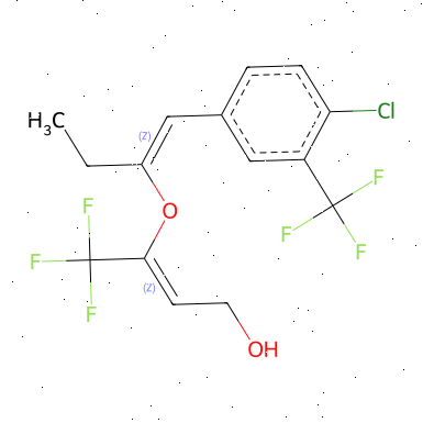 CC/C(=C/c1ccc(Cl)c(C(F)(F)F)c1)O/C(=C\CO)C(F)(F)F